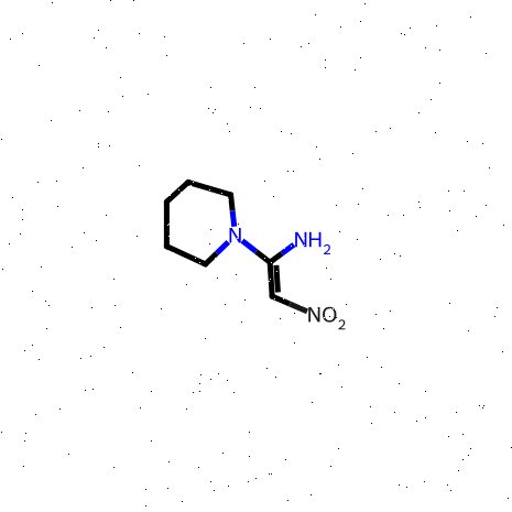 NC(=C[N+](=O)[O-])N1CCCCC1